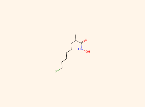 CC(CCCCCCBr)C(=O)NO